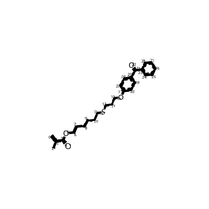 C=C(C)C(=O)OCCCCCCSCCCOc1ccc(C(=O)c2ccccc2)cc1